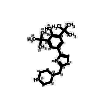 CC(C)(C)c1cc(-c2csc(CN3CCNCC3)n2)cc(C(C)(C)C)c1O